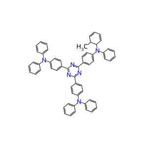 CC1C=CC=CC1N(c1ccccc1)c1ccc(-c2nc(-c3ccc(N(c4ccccc4)c4ccccc4)cc3)nc(-c3ccc(N(c4ccccc4)c4ccccc4)cc3)n2)cc1